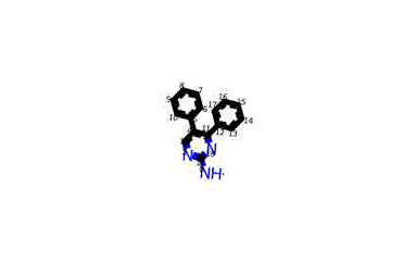 [NH]c1ncc(-c2ccccc2)c(-c2ccccc2)n1